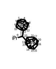 CC(C)C([C]12[CH]3[CH]4[CH]5[CH]1[Fe]45321678[CH]2[CH]1[CH]6[CH]7[CH]28)[C]12[CH]3[CH]4[CH]5[CH]1[Fe]45321678[CH]2[CH]1[CH]6[CH]7[CH]28